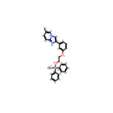 CC(C)(C)[Si](OCCOc1cccc(-c2cn3cc(I)ccc3n2)c1)(c1ccccc1)c1ccccc1